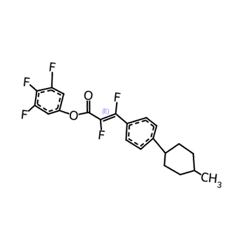 CC1CCC(c2ccc(/C(F)=C(\F)C(=O)Oc3cc(F)c(F)c(F)c3)cc2)CC1